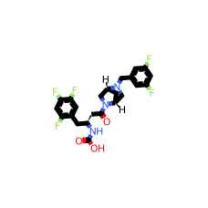 O=C(O)N[C@@H](CC(=O)N1C[C@@H]2C[C@H]1CN2Cc1cc(F)cc(F)c1)Cc1cc(F)c(F)cc1F